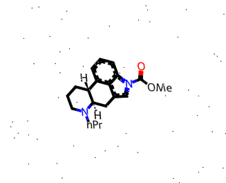 CCCN1CCC[C@@H]2c3cccc4c3c(cn4C(=O)OC)C[C@H]21